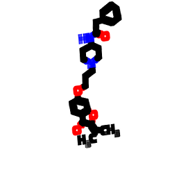 CC(C)=C1Oc2cc(OCCCN3CCC(NC(=O)Cc4ccccc4)CC3)ccc2C1=O